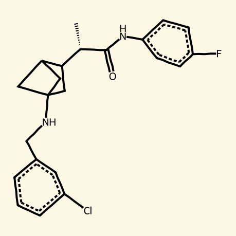 C[C@H](C(=O)Nc1ccc(F)cc1)C1CC2(NCc3cccc(Cl)c3)CC1C2